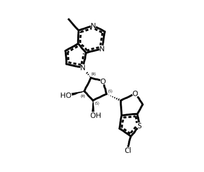 Cc1ncnc2c1ccn2[C@@H]1O[C@H](C2OCc3sc(Cl)cc32)[C@@H](O)[C@H]1O